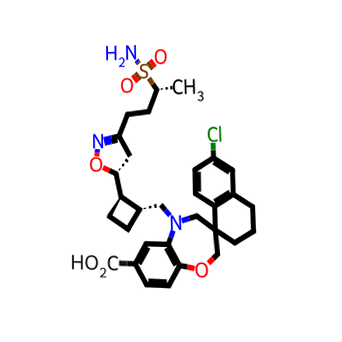 C[C@H](CCC1=NO[C@@H]([C@@H]2CC[C@H]2CN2CC3(CCCc4cc(Cl)ccc43)COc3ccc(C(=O)O)cc32)C1)S(N)(=O)=O